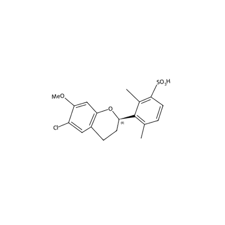 COc1cc2c(cc1Cl)CC[C@H](c1c(C)ccc(S(=O)(=O)O)c1C)O2